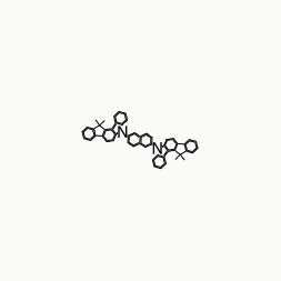 CC1(C)c2ccccc2-c2ccc3c(c21)c1ccccc1n3-c1ccc2cc(-n3c4ccccc4c4c5c(ccc43)-c3ccccc3C5(C)C)ccc2c1